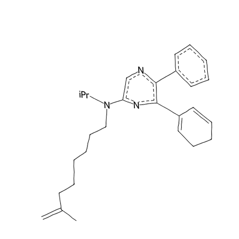 C=C(C)CCCCCCN(c1cnc(-c2ccccc2)c(C2=CCCC=C2)n1)C(C)C